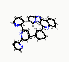 c1ccc(-c2cc(-c3cccc(-c4nc5ccccc5c5nc6ccccn6c45)c3)cc(-c3ccccn3)n2)nc1